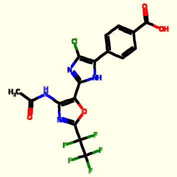 CC(=O)Nc1nc(C(F)(F)C(F)(F)F)oc1-c1nc(Cl)c(-c2ccc(C(=O)O)cc2)[nH]1